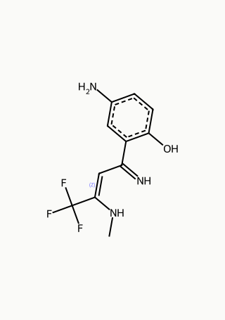 CN/C(=C\C(=N)c1cc(N)ccc1O)C(F)(F)F